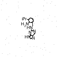 CC(C)c1cccc(CNc2ncc3nc[nH]c3n2)c1N